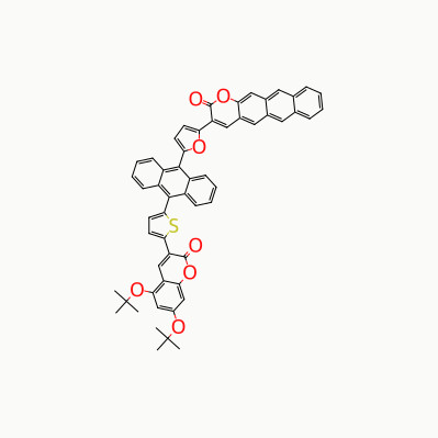 CC(C)(C)Oc1cc(OC(C)(C)C)c2cc(-c3ccc(-c4c5ccccc5c(-c5ccc(-c6cc7cc8cc9ccccc9cc8cc7oc6=O)o5)c5ccccc45)s3)c(=O)oc2c1